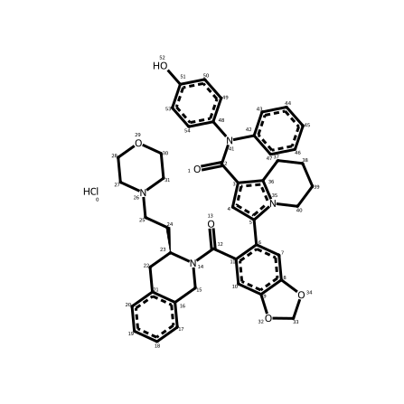 Cl.O=C(c1cc(-c2cc3c(cc2C(=O)N2Cc4ccccc4C[C@H]2CCN2CCOCC2)OCO3)n2c1CCCC2)N(c1ccccc1)c1ccc(O)cc1